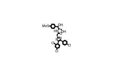 CSc1ccc([C@@H](O)[C@@H](CO)NC(=O)Cn2nc(-c3ccc(Cl)cc3)c(-c3ccc(Cl)cc3Cl)n2)cc1